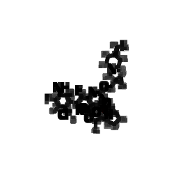 Cc1c(F)c(N)cc(-c2nc3c4c(nc(OCC5(CN6CCC(=CF)CC6)CC5)nc4c2F)N2CC4CCC(C2C(C)O3)N4C(=O)OC(C)(C)C)c1C(F)(F)F